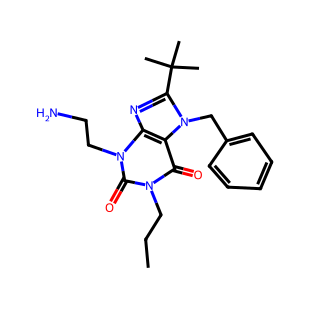 CCCn1c(=O)c2c(nc(C(C)(C)C)n2Cc2ccccc2)n(CCN)c1=O